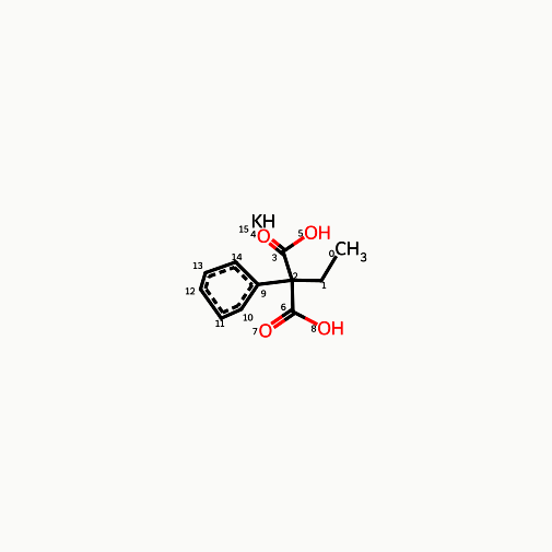 CCC(C(=O)O)(C(=O)O)c1ccccc1.[KH]